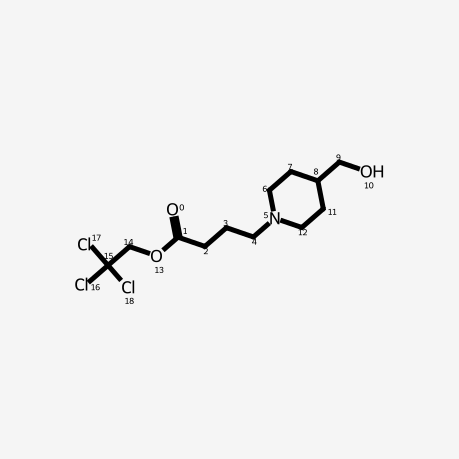 O=C(CCCN1CCC(CO)CC1)OCC(Cl)(Cl)Cl